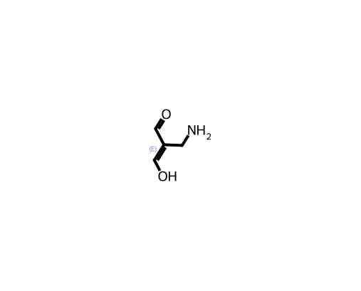 NC/C(C=O)=C\O